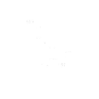 CCC(CC)c1cc(C(C)(C)c2ccc(O)cc2)cc(C(C)(C)CC)c1O